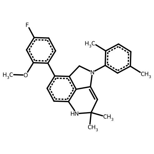 COc1cc(F)ccc1-c1ccc2c3c1CN(c1cc(C)ccc1C)C3=CC(C)(C)N2